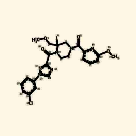 COCC1(I)CN(C(=O)c2cccc(OC)n2)CCN1C(=O)c1ncn(-c2cccc(Cl)c2)n1